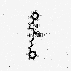 Cl.Cl.O=C(NCCCCc1ccccc1)C1CSC(c2cccnc2)N1